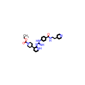 CCOC(=O)N1CC=C(c2ccc[nH]/c2=N\C(=N)Nc2ccc(C(=O)NCCc3ccncc3)cc2)CC1